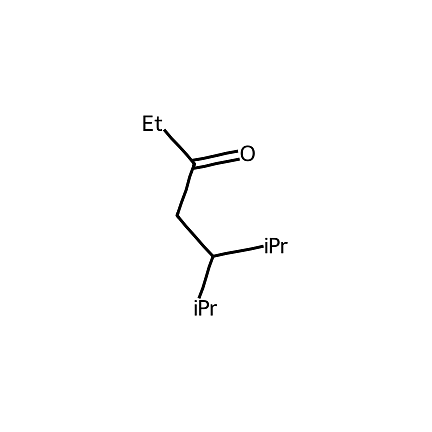 CCC(=O)CC(C(C)C)C(C)C